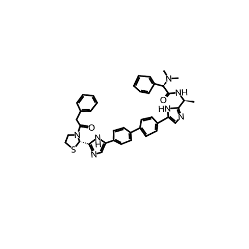 C[C@H](NC(=O)[C@@H](c1ccccc1)N(C)C)c1ncc(-c2ccc(-c3ccc(-c4cnc([C@@H]5SCCN5C(=O)Cc5ccccc5)[nH]4)cc3)cc2)[nH]1